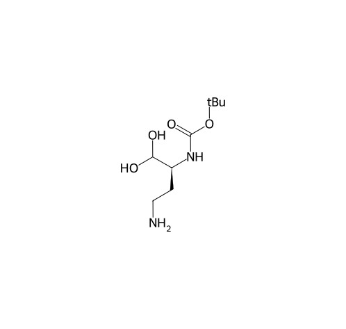 CC(C)(C)OC(=O)N[C@@H](CCN)C(O)O